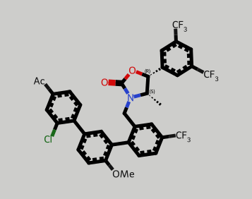 COc1ccc(-c2ccc(C(C)=O)cc2Cl)cc1-c1ccc(C(F)(F)F)cc1CN1C(=O)O[C@H](c2cc(C(F)(F)F)cc(C(F)(F)F)c2)[C@@H]1C